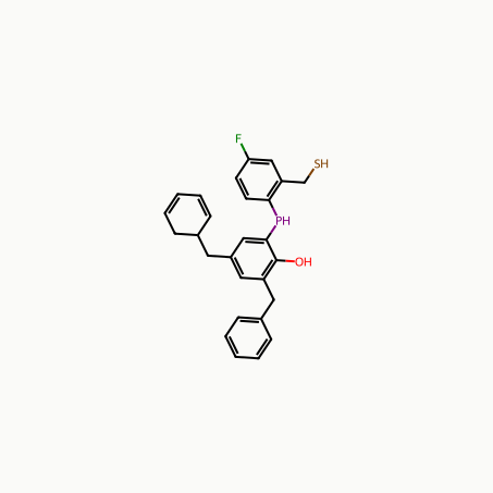 Oc1c(Cc2ccccc2)cc(CC2C=CC=CC2)cc1Pc1ccc(F)cc1CS